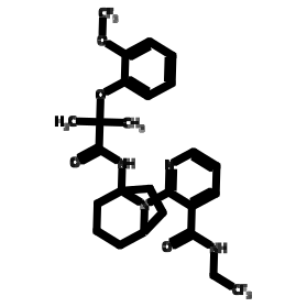 CC(C)(Oc1ccccc1OC(F)(F)F)C(=O)NC12CCCC(CC1)N2c1ncccc1C(=O)NCC(F)(F)F